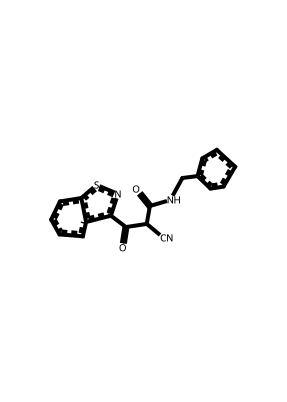 N#CC(C(=O)NCc1ccccc1)C(=O)c1nsc2ccccc12